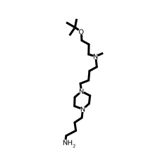 CN(CCCCN1CCN(CCCCN)CC1)CCCOC(C)(C)C